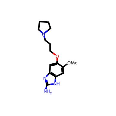 COc1cc2[nH]c(N)nc2cc1OCCCN1CCCC1